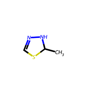 CC1NN=CS1